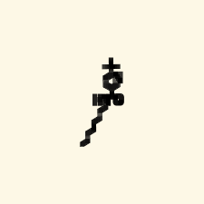 CCCCCCCCNC(=O)c1ccc(C(C)(C)C)nc1